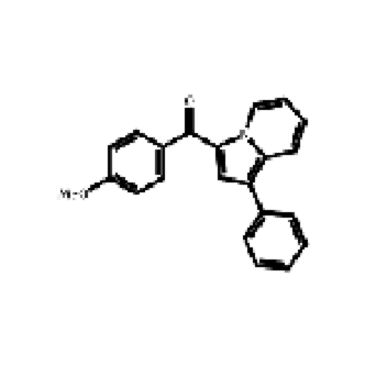 COc1ccc(C(=O)c2cc(-c3ccccc3)c3ccccn23)cc1